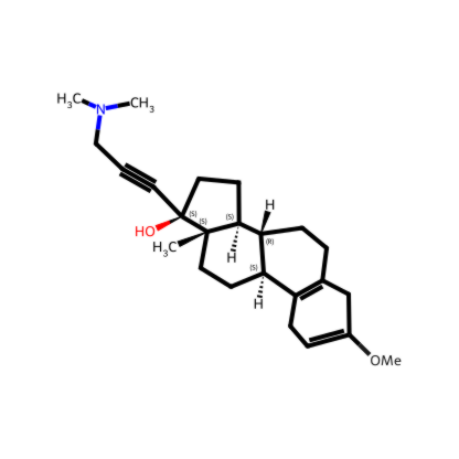 COC1=CCC2=C(CC[C@@H]3[C@@H]2CC[C@@]2(C)[C@H]3CC[C@@]2(O)C#CCN(C)C)C1